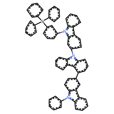 c1ccc(-n2c3ccccc3c3cc(-c4cccc5c4c4ccccc4n5-c4ccc5c6ccccc6n(-c6cccc([Si](c7ccccc7)(c7ccccc7)c7ccccc7)c6)c5c4)ccc32)cc1